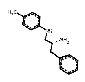 Cc1ccc(NC[C@H](N)Cc2ccccc2)cc1